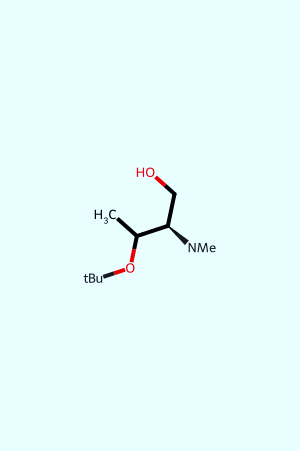 CN[C@H](CO)C(C)OC(C)(C)C